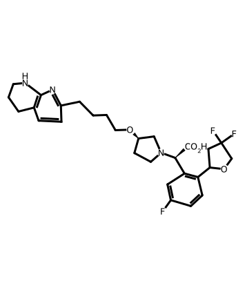 O=C(O)[C@@H](c1cc(F)ccc1C1CC(F)(F)CO1)N1CC[C@@H](OCCCCc2ccc3c(n2)NCCC3)C1